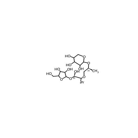 CC(C)C(OC[C@H](C)OC1OCC(O)C(O)C1O)[C@H](O)OC1OC(CO)C(O)C1O